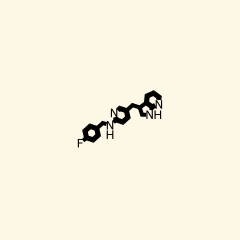 Fc1ccc(CNc2ccc(CC3CNc4ncccc43)cn2)cc1